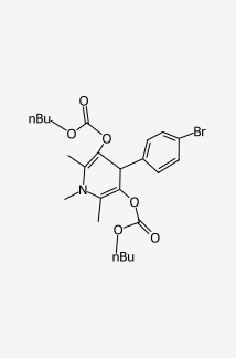 CCCCOC(=O)OC1=C(C)N(C)C(C)=C(OC(=O)OCCCC)C1c1ccc(Br)cc1